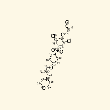 C[C@@H](CCl)COc1c(Cl)cc(S(=O)(=O)c2ccc(OC[C@H](C)CN3CCOCC3)cc2)cc1Cl